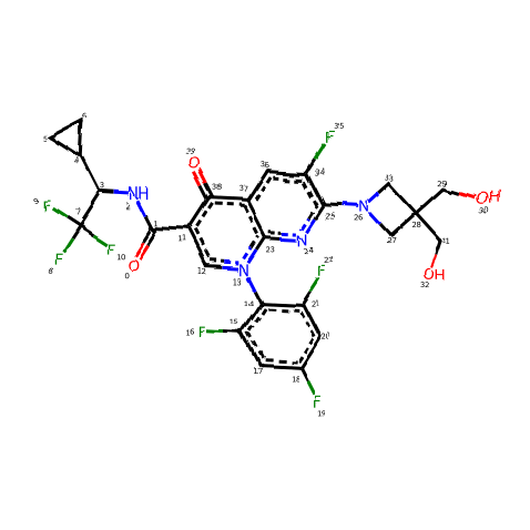 O=C(NC(C1CC1)C(F)(F)F)c1cn(-c2c(F)cc(F)cc2F)c2nc(N3CC(CO)(CO)C3)c(F)cc2c1=O